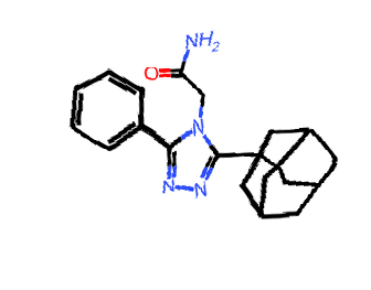 NC(=O)Cn1c(-c2ccccc2)nnc1C12CC3CC(CC(C3)C1)C2